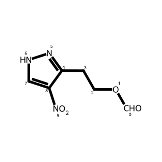 O=COCCc1n[nH]cc1[N+](=O)[O-]